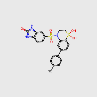 N#Cc1ccc(-c2ccc3c(c2)N(S(=O)(=O)c2ccc4[nH]c(=O)[nH]c4c2)CCS3(O)O)cc1